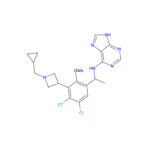 COc1c(C(C)Nc2ncnc3[nH]cnc23)cc(Cl)c(Cl)c1C1CN(CC2CC2)C1